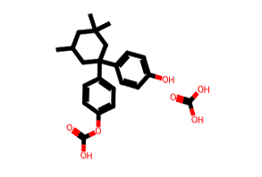 CC1CC(C)(C)CC(c2ccc(O)cc2)(c2ccc(OC(=O)O)cc2)C1.O=C(O)O